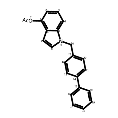 CC(=O)Oc1cccc2c1ccn2Cc1ccc(-c2ccccc2)cc1